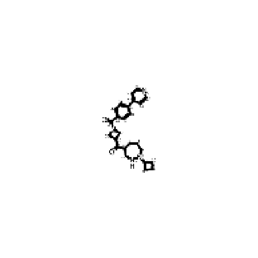 O=C(C1CCCN(C2CCC2)NC1)C1CN(C(=O)c2ccc(-c3ccncc3)cc2)C1